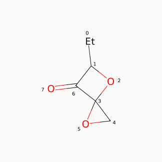 CCC1OC2(CO2)C1=O